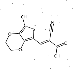 Cc1sc(/C=C(\C#N)C(=O)O)c2c1OCCO2